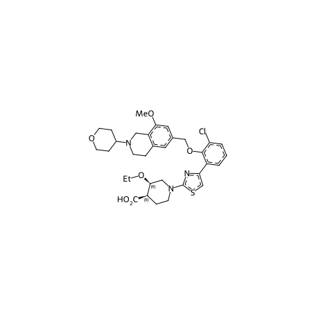 CCO[C@H]1CN(c2nc(-c3cccc(Cl)c3OCc3cc4c(c(OC)c3)CN(C3CCOCC3)CC4)cs2)CC[C@H]1C(=O)O